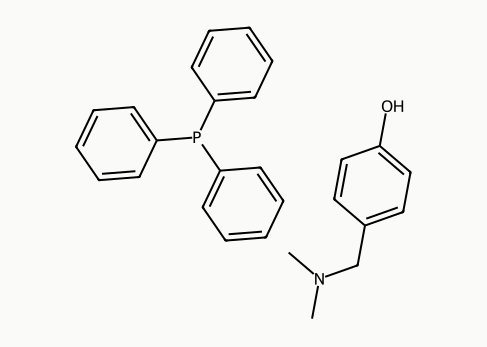 CN(C)Cc1ccc(O)cc1.c1ccc(P(c2ccccc2)c2ccccc2)cc1